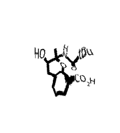 CC(C)(C)C(=O)NC1(C)Oc2c(cccc2C(=O)O)CC1O